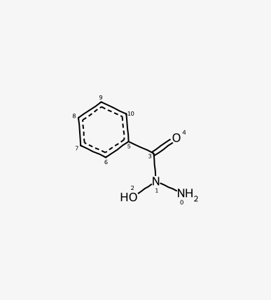 NN(O)C(=O)c1ccccc1